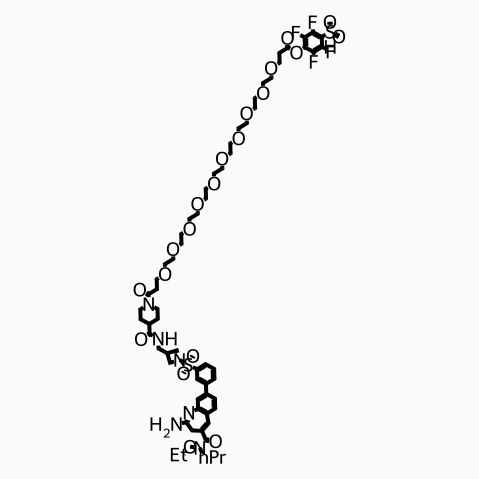 CCCN(OCC)C(=O)C1=Cc2ccc(-c3cccc(S(=O)(=O)N4CC(CNC(=O)C5CCN(C(=O)CCOCCOCCOCCOCCOCCOCCOCCOCCOCCOCCC(=O)Oc6c(F)c(F)c([SH](=O)=O)c(F)c6F)CC5)C4)c3)cc2N=C(N)C1